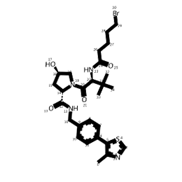 Cc1ncsc1-c1ccc(CNC(=O)[C@@H]2C[C@@H](O)CN2C(=O)[C@@H](NC(=O)CCCCBr)C(C)(C)C)cc1